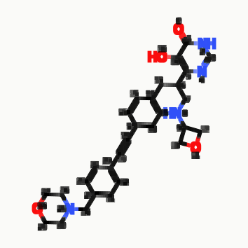 O=c1[nH]cnc(C(CNC2COC2)Cc2ccc(C#Cc3ccc(CN4CCOCC4)cc3)cc2)c1O